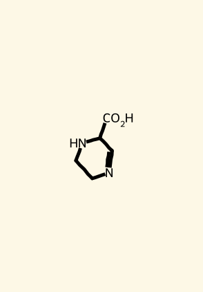 O=C(O)C1C=NCCN1